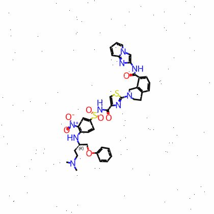 CN(C)CC[C@H](COc1ccccc1)Nc1ccc(S(=O)(=O)NC(=O)c2csc(N3CCc4cccc(C(=O)Nc5cn6ccccc6n5)c4C3)n2)cc1[N+](=O)[O-]